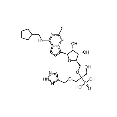 O=P(O)(O)[C@](CO)(COCc1nn[nH]n1)OC[C@H]1O[C@@H](c2ccc3c(NCC4CCCC4)nc(Cl)nn23)[C@H](O)[C@@H]1O